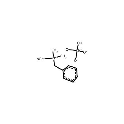 CCCCCCCC[N+](C)(C)Cc1ccccc1.[O-][Cl+3]([O-])([O-])O